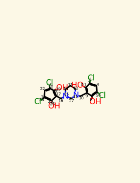 Oc1c(Cl)cc(Cl)c(O)c1CN1CCCN(Cc2c(O)c(Cl)cc(Cl)c2O)C1